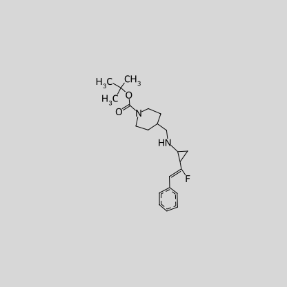 CC(C)(C)OC(=O)N1CCC(CNC2CC2C(F)=Cc2ccccc2)CC1